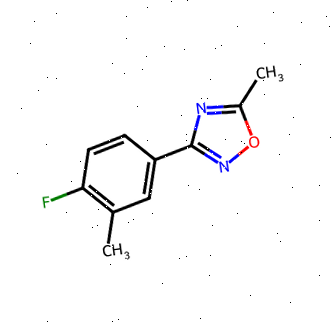 Cc1nc(-c2ccc(F)c(C)c2)no1